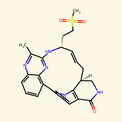 Cc1nc2cccc3c2nc1N[C@H](CCS(C)(=O)=O)/C=C/C[C@H]1CNC(=O)c2cc-3[nH]c21